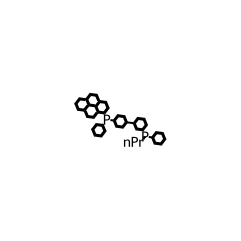 CCCP(c1ccccc1)c1cccc(-c2ccc(P(c3ccccc3)c3ccc4ccc5cccc6ccc3c4c56)cc2)c1